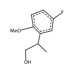 COc1ccc(F)cc1C(C)CO